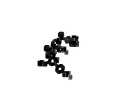 CCC1(O)CC(C(=O)N2CCN(C(=O)c3cc4nc(-c5ccc(C(F)(F)F)cc5)cc(C(C)(C)C)c4o3)C(C)(C)C2)C1